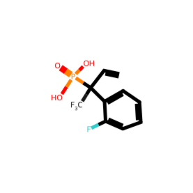 C=CC(c1ccccc1F)(C(F)(F)F)P(=O)(O)O